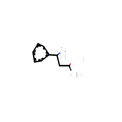 NC(CC(O)C=O)c1ccccc1